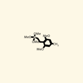 COc1cc(C)cc(OC)c1CC[Si](OC)(OC)OC